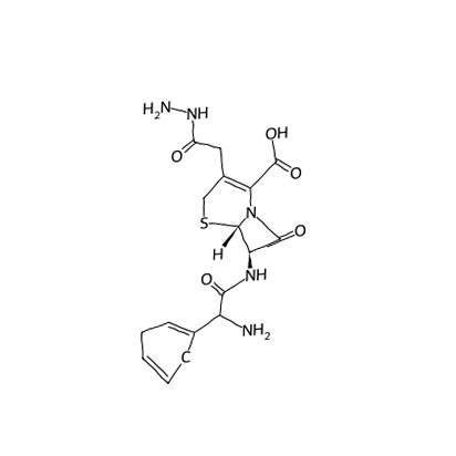 NNC(=O)CC1=C(C(=O)O)N2C(=O)[C@@H](NC(=O)C(N)C3=CCC=CC3)[C@@H]2SC1